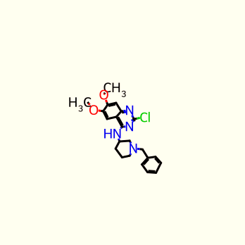 COc1cc2nc(Cl)nc(NC3CCCN(Cc4ccccc4)C3)c2cc1OC